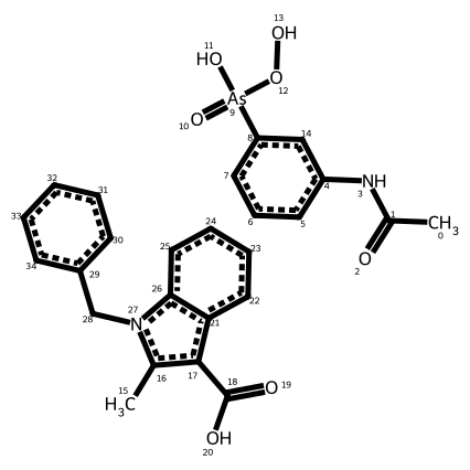 CC(=O)Nc1cccc([As](=O)(O)OO)c1.Cc1c(C(=O)O)c2ccccc2n1Cc1ccccc1